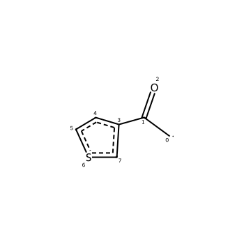 [CH2]C(=O)c1ccsc1